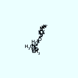 CN[C@@H](COCCOCCN1CCC(N=[N+]=[N-])CC1)C(=O)OC